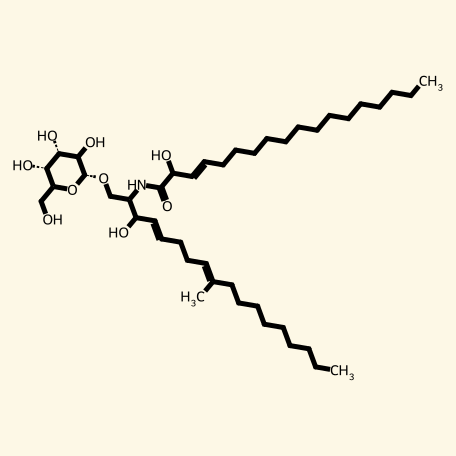 CCCCCCCCCCCCCC/C=C/C(O)C(=O)NC(CO[C@@H]1OC(CO)[C@H](O)[C@H](O)C1O)C(O)/C=C/CC/C=C(\C)CCCCCCCCC